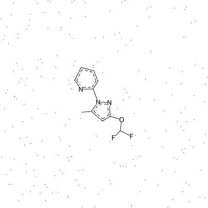 Cc1cc(OC(F)F)nn1-c1ccccn1